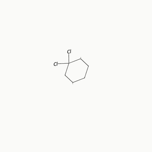 ClC1(Cl)[CH]CC[CH]C1